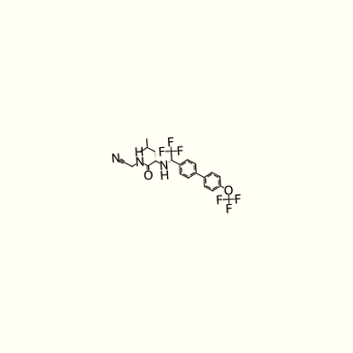 CC(C)C[C@H](N[C@@H](c1ccc(-c2ccc(OC(F)(F)F)cc2)cc1)C(F)(F)F)C(=O)NCC#N